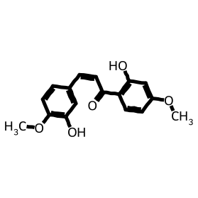 COc1ccc(C(=O)/C=C\c2ccc(OC)c(O)c2)c(O)c1